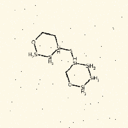 C1C[SiH](S[SiH]2CO[SiH2][SiH2][SiH2]2)[SiH2][SiH2]O1